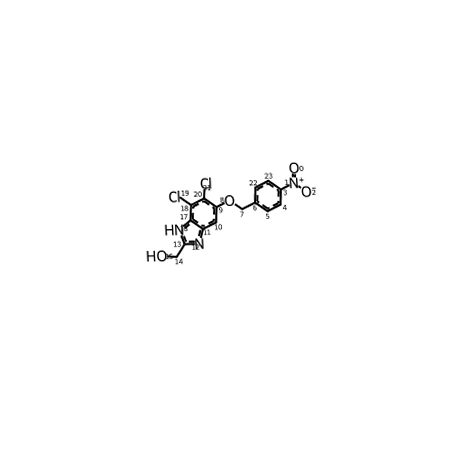 O=[N+]([O-])c1ccc(COc2cc3nc(CO)[nH]c3c(Cl)c2Cl)cc1